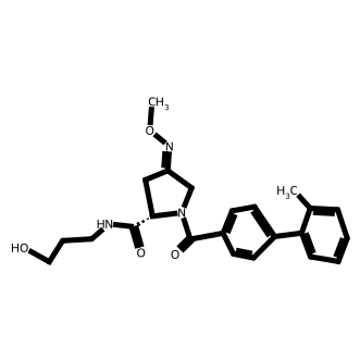 CO/N=C1\C[C@@H](C(=O)NCCCO)N(C(=O)c2ccc(-c3ccccc3C)cc2)C1